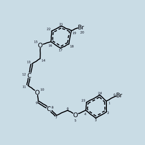 Brc1ccc(OCC=C=COC=C=CCOc2ccc(Br)cc2)cc1